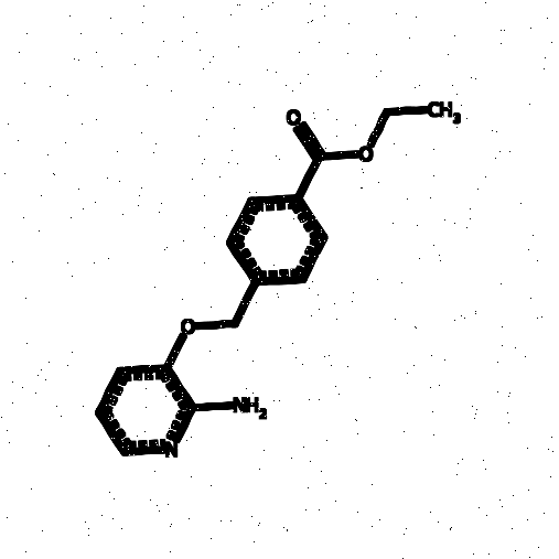 CCOC(=O)c1ccc(COc2cccnc2N)cc1